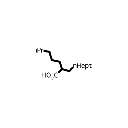 CCCCCCCCC(CCCC(C)C)C(=O)O